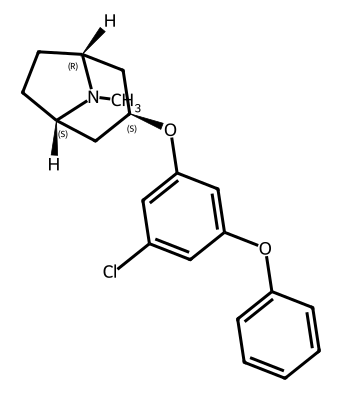 CN1[C@@H]2CC[C@H]1C[C@H](Oc1cc(Cl)cc(Oc3ccccc3)c1)C2